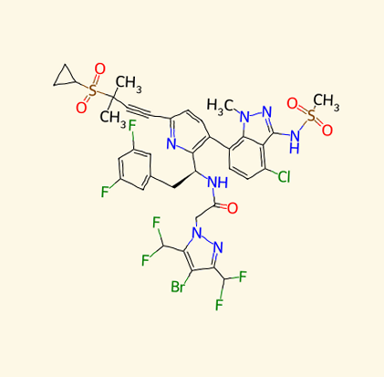 Cn1nc(NS(C)(=O)=O)c2c(Cl)ccc(-c3ccc(C#CC(C)(C)S(=O)(=O)C4CC4)nc3[C@H](Cc3cc(F)cc(F)c3)NC(=O)Cn3nc(C(F)F)c(Br)c3C(F)F)c21